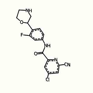 N#Cc1cc(Cl)cc(C(=O)Nc2ccc(C3CNCCO3)c(F)c2)n1